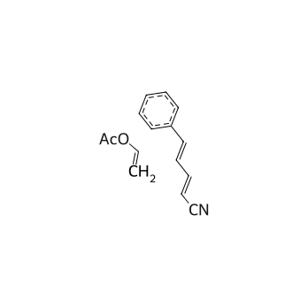 C=COC(C)=O.N#CC=CC=Cc1ccccc1